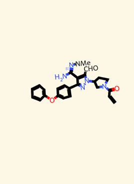 C=CC(=O)N1CCC(n2nc(-c3ccc(Oc4ccccc4)cc3)c(/C(N)=N\NC)c2C=O)C1